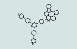 c1ccc(-n2c3ccccc3c3ccc4c(-c5ccc(-c6cc(-c7ccc(-c8ccncc8)cc7)nc(-c7ccc(-c8ccncc8)cc7)c6)cc5)nc5ccccc5c4c32)cc1